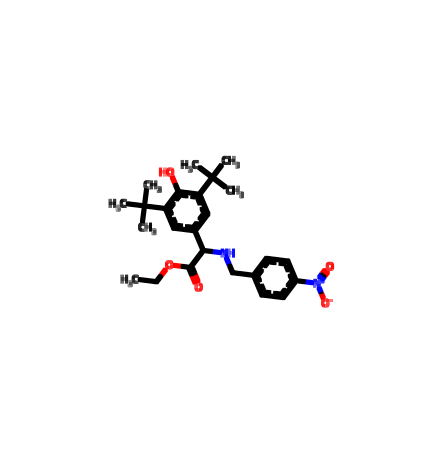 CCOC(=O)C(NCc1ccc([N+](=O)[O-])cc1)c1cc(C(C)(C)C)c(O)c(C(C)(C)C)c1